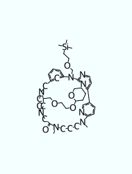 CN1CCCN(C)c2ccc(cn2)-c2ccnc(n2)N(COCC[Si](C)(C)C)c2cccc(c2)CN2CCN(CC1=O)CC2COCCOC1CCCCO1